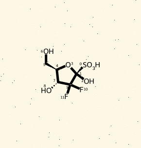 O=S(=O)(O)[C@]1(O)O[C@H](CO)[C@@H](O)C1(F)F